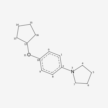 c1cc(N2CCCC2)ccc1OC1CCCC1